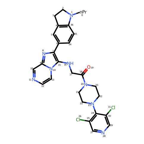 CCCN1CCc2cc(-c3nc4cnccn4c3NCC(=O)N3CCN(c4c(Cl)cncc4Cl)CC3)ccc21